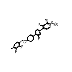 CCCCOc1ccc(-c2ccc(C3=CCC(OCc4ccc(C)c(F)c4F)CC3)c(F)c2)c(F)c1F